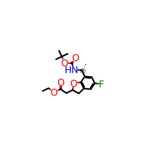 CCOC(=O)CC1Cc2cc(F)cc([C@@H](C)NC(=O)OC(C)(C)C)c2O1